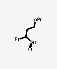 CCCCC[CH](CC)[Sn]=[O]